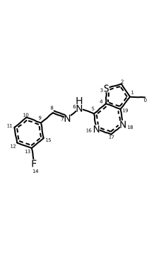 Cc1csc2c(NN=Cc3cccc(F)c3)ncnc12